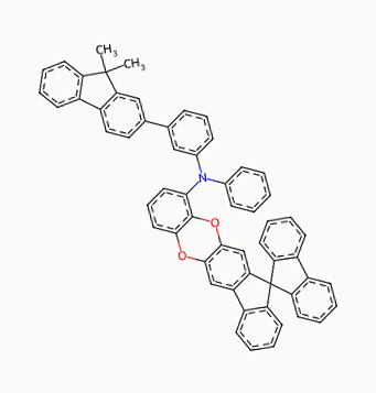 CC1(C)c2ccccc2-c2ccc(-c3cccc(N(c4ccccc4)c4cccc5c4Oc4cc6c(cc4O5)-c4ccccc4C64c5ccccc5-c5ccccc54)c3)cc21